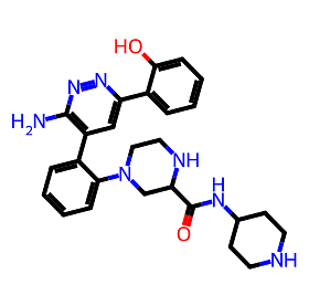 Nc1nnc(-c2ccccc2O)cc1-c1ccccc1N1CCNC(C(=O)NC2CCNCC2)C1